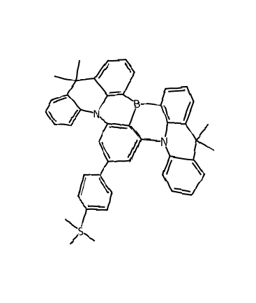 CC1(C)c2ccccc2N2c3cc(-c4ccc(S(C)(C)C)cc4)cc4c3B(c3cccc1c32)c1cccc2c1N4c1ccccc1C2(C)C